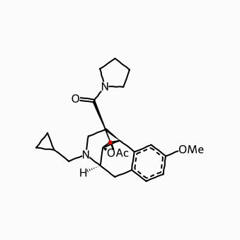 COc1ccc2c(c1)[C@]13CCN(CC4CC4)[C@H](C2)[C@]1(OC(C)=O)C[C@H](C(=O)N1CCCC1)C3